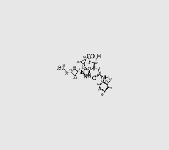 Cc1ccc(NC(=O)C[C@@H](CCC(=O)O)c2nnn([C@H]3C[C@H](CC(C)(C)C)C3)c2C2CC2)c(C)c1